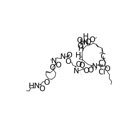 CCCCCOc1cc2cc(c1Cl)N(C)C(=O)C[C@H](OC(=O)[C@H](C)N(C)C(=O)CCOC(=O)N(C)CCN(C)C(=O)OC1/C=C/CC(OCC(=O)NCCCC)CCC1)[C@]1(C)C[C@H]1[C@H](C)[C@@H]1C[C@@](O)(NC(=O)O1)[C@H](OC)/C=C/C=C(\C)C2